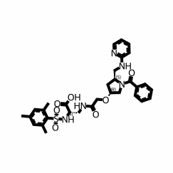 Cc1cc(C)c(S(=O)(=O)N[C@@H](CNC(=O)CO[C@@H]2C[C@@H](CNc3ccccn3)N(C(=O)c3ccccc3)C2)C(=O)O)c(C)c1